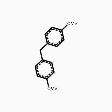 COc1ccc([CH]c2ccc(OC)cc2)cc1